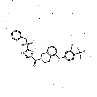 O=C(c1c[nH]c(S(=O)(=O)Cc2ccccn2)n1)N1CCc2c(cccc2Nc2ccc(C(F)(F)F)c(F)c2)C1